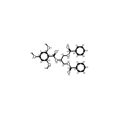 COc1cc(OC)c(C(=O)OC(COC(=O)c2ccccc2)COC(=O)c2ccccc2)c(OC)c1